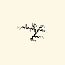 CNCC/C=C(\CCCN)CCN(CCN(CCN)CCN)CCN(CCN)CCNCCNCCN